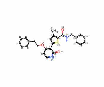 Cc1cc(-c2c(OCCc3ccccc3)cc[nH]c2=O)sc1C(=O)NCc1ccccc1